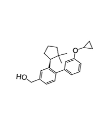 CC1(C)CCC[C@@H]1c1cc(CO)ccc1-c1cccc(OC2CC2)c1